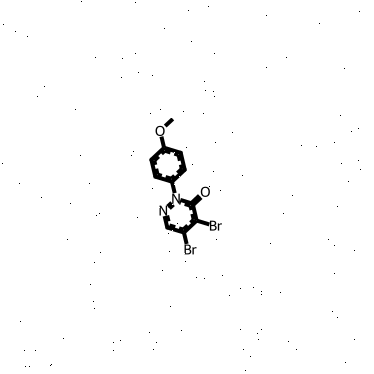 COc1ccc(-n2ncc(Br)c(Br)c2=O)cc1